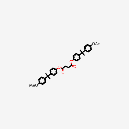 COc1ccc(C(C)(C)c2ccc(OC(=O)CCC(=O)Oc3ccc(C(C)(C)c4ccc(OC(C)=O)cc4)cc3)cc2)cc1